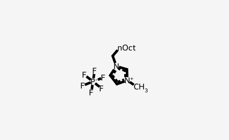 CCCCCCCCCn1cc[n+](C)c1.F[P-](F)(F)(F)(F)F